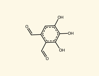 O=Cc1cc(O)c(O)c(O)c1C=O